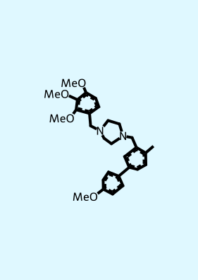 COc1ccc(-c2ccc(C)c(CN3CCN(Cc4ccc(OC)c(OC)c4OC)CC3)c2)cc1